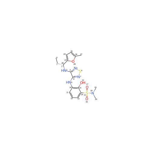 CC[C@@H](Nc1nsnc1Nc1cccc(S(=O)(=O)N(C)C)c1O)c1ccc(C)o1